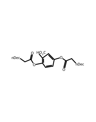 CCCCCCCCCCCC(=O)Oc1ccc(OC(=O)CCCCCCCCCCC)c(C(=O)O)c1